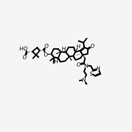 CC(C)C1=C2[C@H]3CC[C@@H]4[C@@]5(C)CC[C@H](OC(=O)[C@H]6C[C@@H](C(=O)O)C6(C)C)C(C)(C)[C@@H]5CC[C@@]4(C)[C@]3(C)CC[C@@]2(CC(=O)N(CCN(C)C)Cc2nccs2)CC1=O